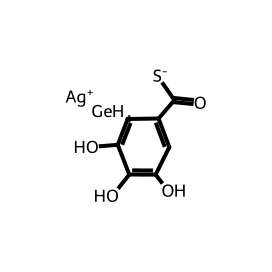 O=C([S-])c1cc(O)c(O)c(O)c1.[Ag+].[GeH4]